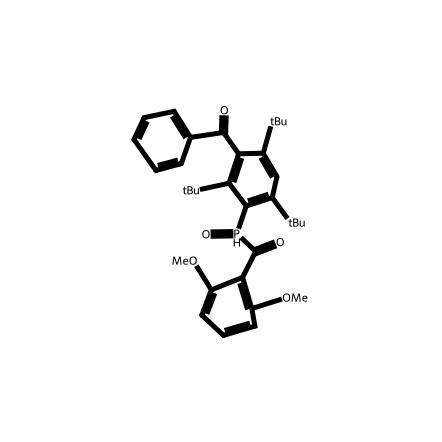 COc1cccc(OC)c1C(=O)[PH](=O)c1c(C(C)(C)C)cc(C(C)(C)C)c(C(=O)c2ccccc2)c1C(C)(C)C